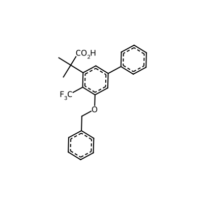 CC(C)(C(=O)O)c1cc(-c2ccccc2)cc(OCc2ccccc2)c1C(F)(F)F